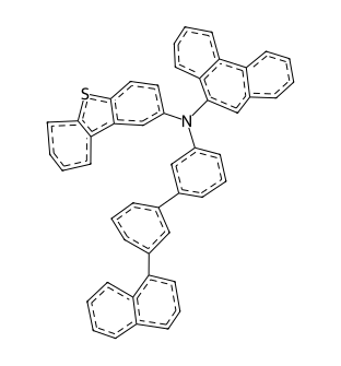 c1cc(-c2cccc(N(c3ccc4sc5ccccc5c4c3)c3cc4ccccc4c4ccccc34)c2)cc(-c2cccc3ccccc23)c1